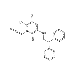 Cc1c(Cl)nc(NCC(c2ccccc2)c2ccccc2)c(=O)n1C=C=O